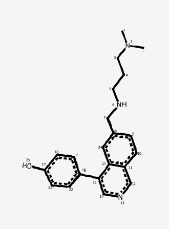 CN(C)CCCNCc1ccc2cncc(-c3ccc(O)cc3)c2c1